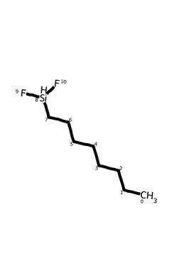 CCCCCCCC[SiH](F)F